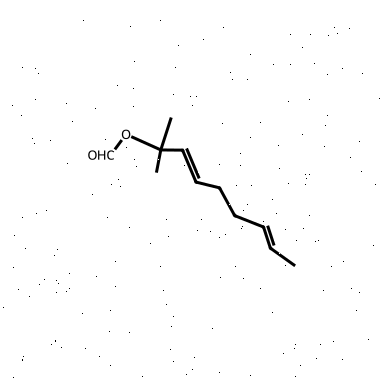 CC=CCCC=CC(C)(C)OC=O